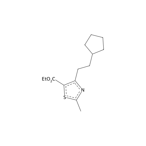 CCOC(=O)c1sc(C)nc1CCC1CCCC1